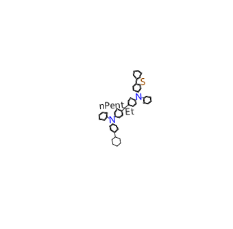 CCCCCC(CC)(c1ccc(N(c2ccccc2)c2ccc(C3CCCCC3)cc2)cc1)c1ccc(N(c2ccccc2)c2ccc3c(c2)sc2ccccc23)cc1